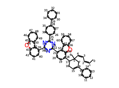 C/C=C\C=C/C1(C)CC(c2ccccc2)=CCC1c1ccc(-c2nc(-c3ccc(-c4ccccc4)cc3)nc(-c3cccc4oc5ccccc5c34)n2)c2c1oc1ccccc12